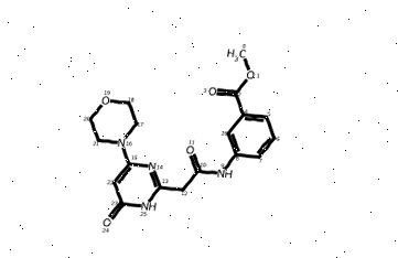 COC(=O)c1cccc(NC(=O)Cc2nc(N3CCOCC3)cc(=O)[nH]2)c1